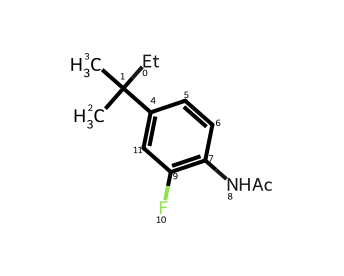 CCC(C)(C)c1ccc(NC(C)=O)c(F)c1